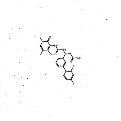 Cc1cn(C)c(=O)c(NC(=O)N[C@@H](CC(=O)O)c2cccc(-c3ccc(F)cc3F)c2)c1O